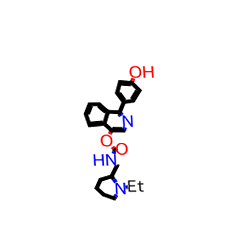 CCN1CCCCC1CNC(=O)Oc1cnc(-c2ccc(O)cc2)c2ccccc12